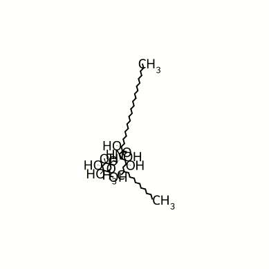 CCCCCCCCCCCCCCCCCCCCCC[C@@H](O)C(=O)N[C@@H](CO[C@H]1O[C@H](CO)[C@@H](O)[C@H](O)[C@H]1O)[C@H](O)[C@H](O)CC(C)CCCCCCCCCCC